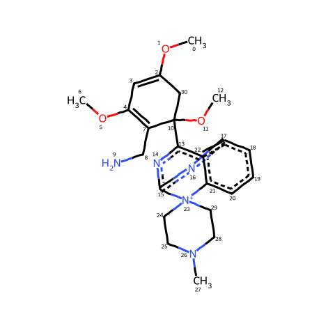 COC1=CC(OC)=C(CN)C(OC)(c2nc3nc4cccc(c24)[N+]32CCN(C)CC2)C1